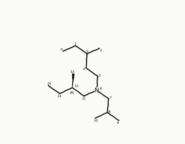 CCC(C)CCN(CC(C)C)C[C@H](C)CC